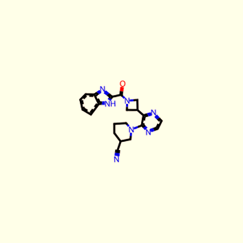 N#CC1CCCN(c2nccnc2C2CN(C(=O)c3nc4ccccc4[nH]3)C2)C1